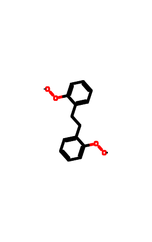 [O]Oc1ccccc1CCc1ccccc1O[O]